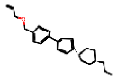 C=CCOCc1ccc(-c2ccc([C@H]3CC[C@H](CCC)CC3)cc2)cc1